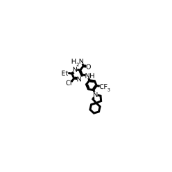 CCc1nc(C(N)=O)c(Nc2ccc(N3CCC4(CCCCC4)C3)c(C(F)(F)F)c2)nc1Cl